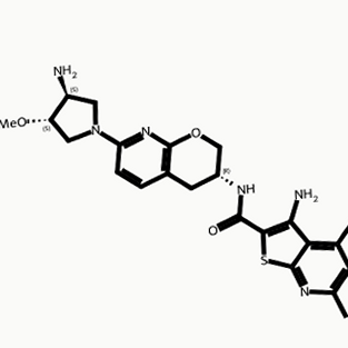 CO[C@H]1CN(c2ccc3c(n2)OC[C@H](NC(=O)c2sc4nc(C)cc(C)c4c2N)C3)C[C@@H]1N